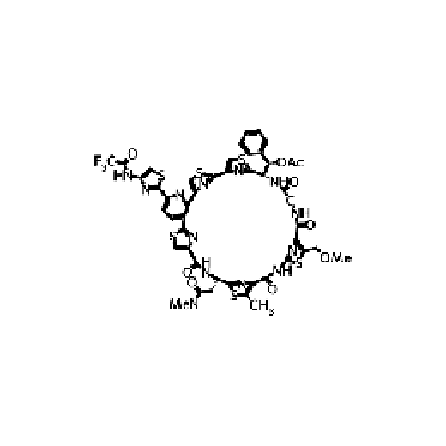 CNC(=O)C[C@@H]1NC(=O)c2csc(n2)-c2ccc(-c3nc(NC(=O)C(F)(F)F)cs3)nc2-c2csc(n2)-c2csc(n2)[C@H]([C@@H](OC(C)=O)c2ccccc2)NC(=O)CNC(=O)c2nc(sc2COC)NC(=O)c2nc1sc2C